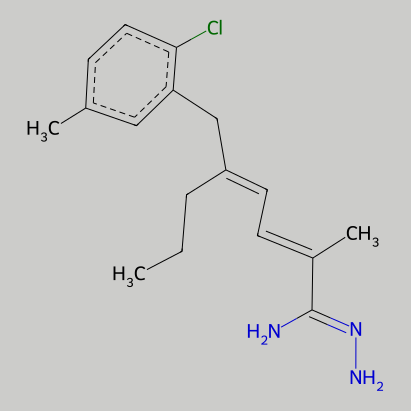 CCC\C(=C/C=C(C)/C(N)=N/N)Cc1cc(C)ccc1Cl